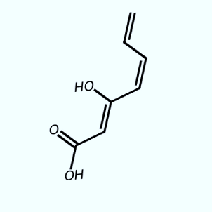 C=C/C=C\C(O)=C\C(=O)O